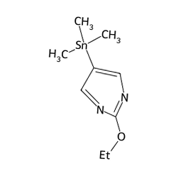 CCOc1nc[c]([Sn]([CH3])([CH3])[CH3])cn1